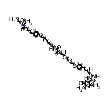 N=C(NCCCCc1ccc(OCCOCCOCCNC(=O)C(=O)NCCOCCOCCOc2ccc(CCCCC(=O)/C(CN)=N/C(Cl)=CN)cc2)cc1)NC(=O)c1nc(Cl)c(N)nc1N